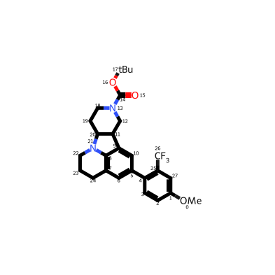 COc1ccc(-c2cc3c4c(c2)C2CN(C(=O)OC(C)(C)C)CCC2N4CCC3)c(C(F)(F)F)c1